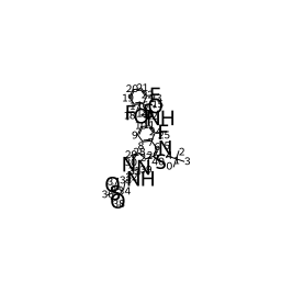 CC(C)(C)c1nc(-c2cccc(NS(=O)(=O)c3c(F)cccc3F)c2F)c(-c2ccnc(NCCS(C)(=O)=O)n2)s1